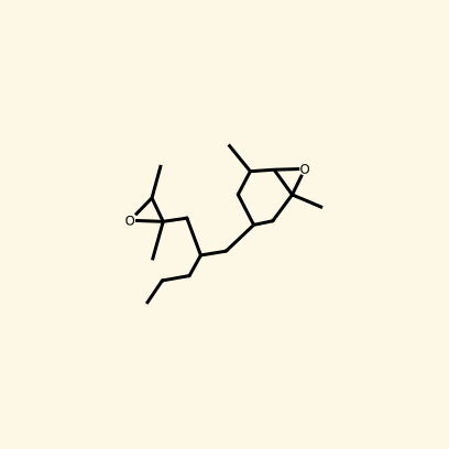 CCCC(CC1CC(C)C2OC2(C)C1)CC1(C)OC1C